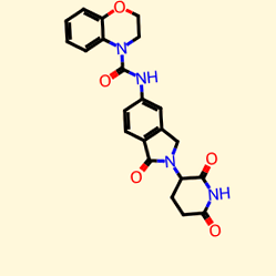 O=C1CCC(N2Cc3cc(NC(=O)N4CCOc5ccccc54)ccc3C2=O)C(=O)N1